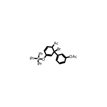 CC(=O)Oc1cccc(C2(Br)C=C(O[Si](C(C)C)(C(C)C)C(C)C)C=CC2C(C)=O)c1